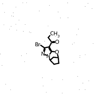 CCC(=O)c1c(Br)nn2c1OC1CCC2C1